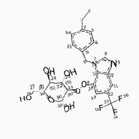 CCc1ccc(Cn2cnc3cc(C(F)(F)F)cc(OO[C@@H]4[C@@H](O)[C@H](O)[C@@H](CO)O[C@H]4O)c32)cc1